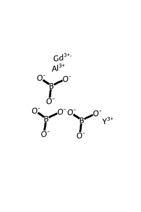 [Al+3].[Gd+3].[O-]B([O-])[O-].[O-]B([O-])[O-].[O-]B([O-])[O-].[Y+3]